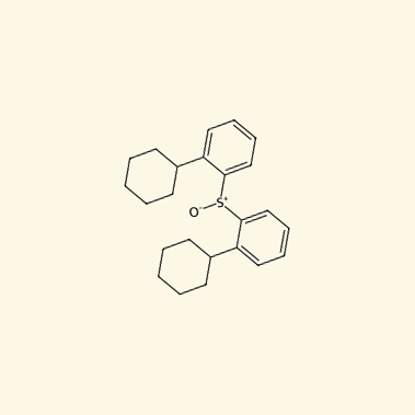 [O-][S+](c1ccccc1C1CCCCC1)c1ccccc1C1CCCCC1